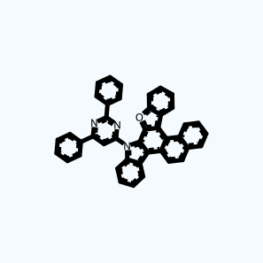 c1ccc(-c2cc(-n3c4ccccc4c4c5ccc6ccccc6c5c5c6ccccc6oc5c43)nc(-c3ccccc3)n2)cc1